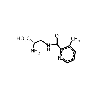 Cc1cccnc1C(=O)NC[C@H](N)C(=O)O